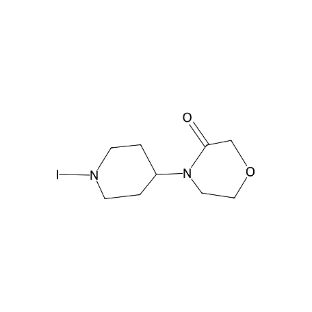 O=C1COCCN1C1CCN(I)CC1